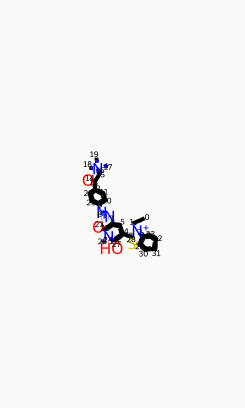 CC[n+]1c(-c2cc(/N=N/c3ccc(C(=O)C[N+](C)(C)C)cc3)c(=O)n(C)c2O)sc2ccccc21